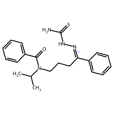 CC(C)N(CCC/C(=N\NC(N)=S)c1ccccc1)C(=O)c1ccccc1